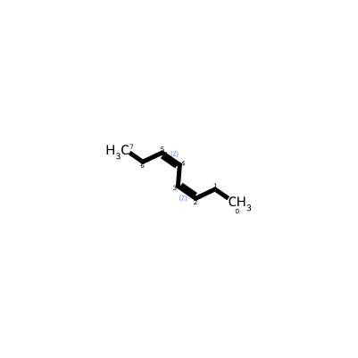 CC/[C]=C\C=[C]/CC